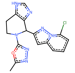 Cc1nnc(N2CCc3[nH]cnc3C2c2cc3cccc(Cl)n3n2)o1